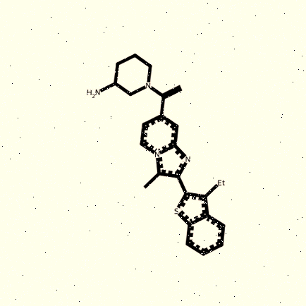 C=C(c1ccn2c(C)c(-c3sc4ccccc4c3CC)nc2c1)N1CCCC(N)C1